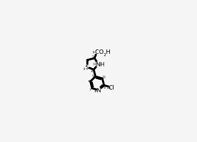 O=C(O)C1CSC(c2ccnc(Cl)c2)N1